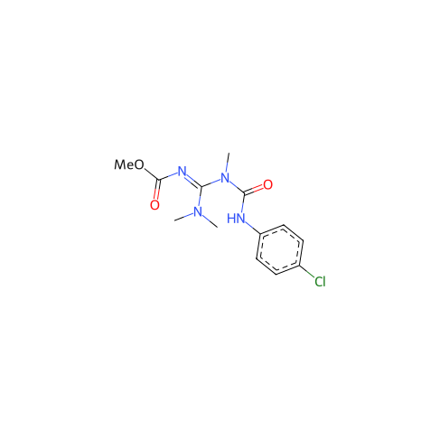 COC(=O)N=C(N(C)C)N(C)C(=O)Nc1ccc(Cl)cc1